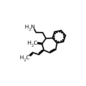 C=C/C=C1/C=Cc2ccccc2C(CCN)C1=C